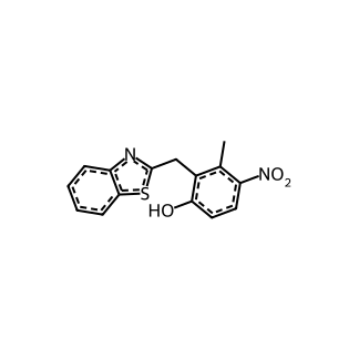 Cc1c([N+](=O)[O-])ccc(O)c1Cc1nc2ccccc2s1